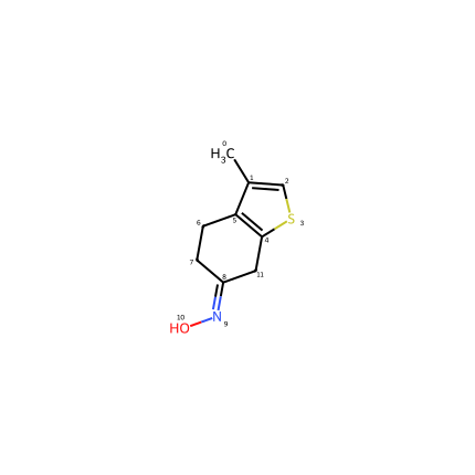 Cc1csc2c1CCC(=NO)C2